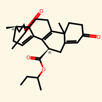 CCC(C)OC(=O)[C@@H]1CC2=CC(=O)CCC2(C)C2=C1C1=CC[C@@]3(C)CCC(=O)C13CC2